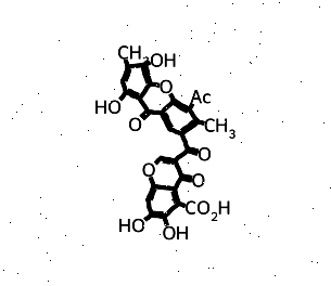 CC(=O)c1c(C)c(C(=O)c2coc3cc(O)c(O)c(C(=O)O)c3c2=O)cc2c(=O)c3c(O)cc(C)c(O)c3oc12